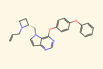 C=CCN1CC[C@@H]1Cn1ccc2ncnc(Oc3ccc(Oc4ccccc4)cc3)c21